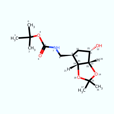 CC(C)(C)OC(=O)NC[C@H]1C[C@H](O)[C@@H]2OC(C)(C)O[C@H]12